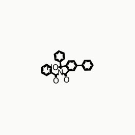 O=C(c1ccccc1)N1C(=O)c2cc(-c3ccccc3)ccc2C1(O)c1ccccc1